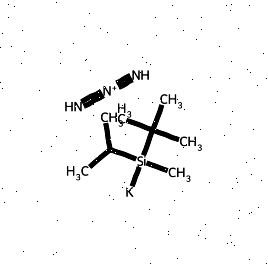 CC(C)[Si](C)([K])C(C)(C)C.N=[N+]=N